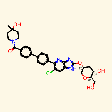 CC1(O)CCN(C(=O)c2ccc(-c3ccc(-c4nc5nc(O[C@H]6CO[C@H](CO)[C@@H](O)C6)[nH]c5cc4Cl)cc3)cc2)CC1